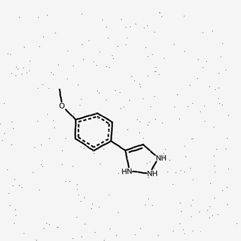 COc1ccc(C2=CNNN2)cc1